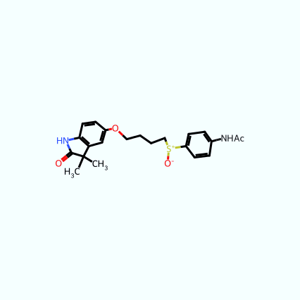 CC(=O)Nc1ccc([S+]([O-])CCCCOc2ccc3c(c2)C(C)(C)C(=O)N3)cc1